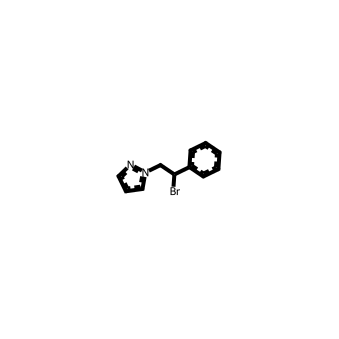 BrC(Cn1cccn1)c1ccccc1